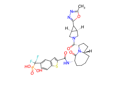 Cc1nnc(C2[C@H]3CN(C(=O)[C@@H]4CC[C@@H]5CCCC[C@H](NC(=O)c6cc7cc(C(F)(F)P(=O)(O)O)ccc7s6)C(=O)N54)C[C@@H]23)o1